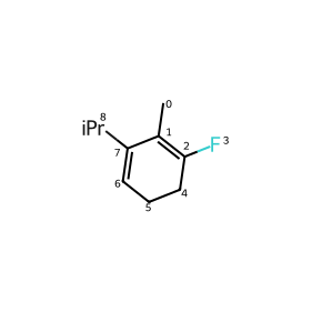 CC1=C(F)CCC=C1C(C)C